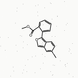 COC(=O)c1ccccc1-c1occ2cc(C)ccc12